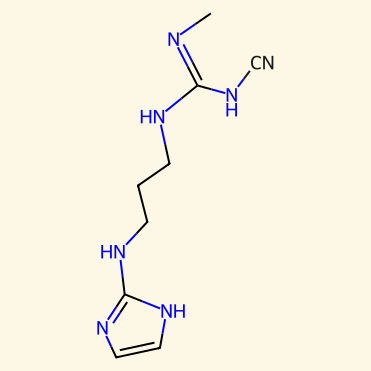 C/N=C(\NC#N)NCCCNc1ncc[nH]1